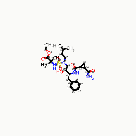 CCOC(=O)C(C)(C)NS(=O)(=O)N(CCC(C)C)C[C@@H](O)[C@H](Cc1ccccc1)NC(=O)C1CC1C(N)=O